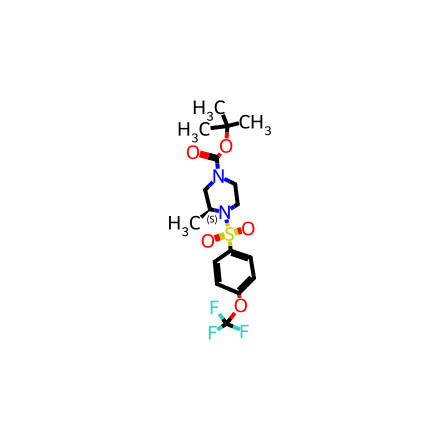 C[C@H]1CN(C(=O)OC(C)(C)C)CCN1S(=O)(=O)c1ccc(OC(F)(F)F)cc1